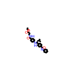 CCOC(=O)CCNC(=O)c1ccc(N[C@@H](CC(C)C)c2ccc(-c3nc4ccccc4o3)cc2)cc1